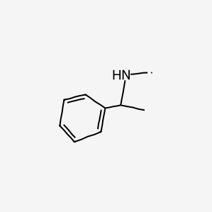 [CH2]NC(C)c1ccccc1